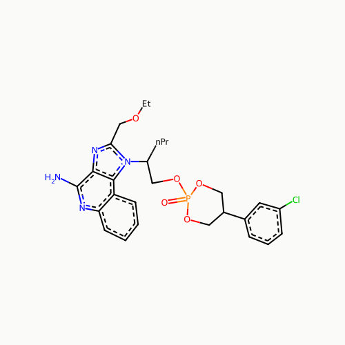 CCCC(COP1(=O)OCC(c2cccc(Cl)c2)CO1)n1c(COCC)nc2c(N)nc3ccccc3c21